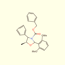 COc1cccc(OC)c1C1O[C@@H](C)C(c2ccccc2)N1C(=O)OCc1ccccc1